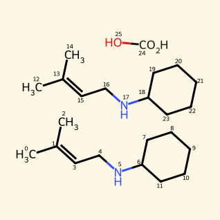 CC(C)=CCNC1CCCCC1.CC(C)=CCNC1CCCCC1.O=C(O)O